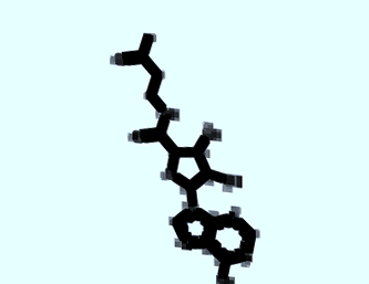 CC(=O)CCNC(=O)C1OC(n2cnc3c(N)ncnc32)C(O)C1O